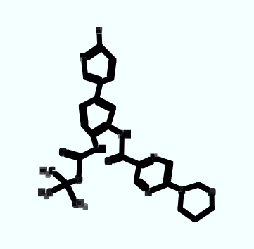 CC(C)(C)OC(=O)Nc1ccc(-c2ccc(F)nc2)cc1NC(=O)c1cnc(N2CCCOC2)cn1